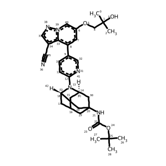 CC(C)(O)COc1cc(-c2ccc(N3[C@@H]4CC5C[C@H]3CC(NC(=O)OC(C)(C)C)(C5)C4)nc2)c2c(C#N)cnn2c1